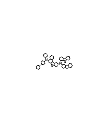 c1ccc(-c2ccc(N(c3ccccc3)c3cc4sc5ccc(N(c6ccc7c(c6)-c6ccccc6C7)c6cccc7c6sc6ccccc67)cc5c4c4ccccc34)cc2)cc1